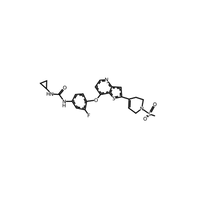 CS(=O)(=O)N1CC=C(c2cc3nccc(Oc4ccc(NC(=O)NC5CC5)cc4F)c3s2)CC1